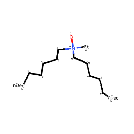 CCCCCCCCCCCCCCC[N+]([O-])(CC)CCCCCCCCCCCCCCC